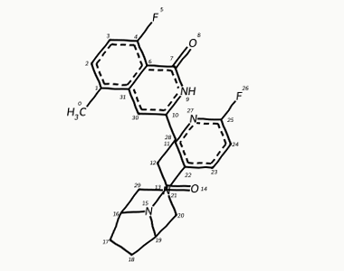 Cc1ccc(F)c2c(=O)[nH]c(CCC(=O)N3C4CCC3CN(c3ccc(F)nc3)C4)cc12